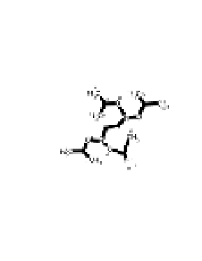 CC(C)ON(CCN(OC(C)C)OC(C)C)OC(C)C